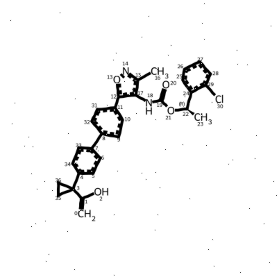 C=C(O)C1(c2ccc(-c3ccc(-c4onc(C)c4NC(=O)O[C@H](C)c4ccccc4Cl)cc3)cc2)CC1